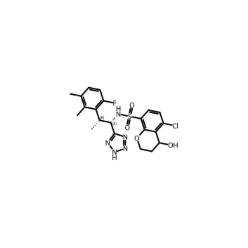 Cc1ccc(F)c([C@@H](C)[C@H](NS(=O)(=O)c2ccc(Cl)c3c2OCCC3O)c2nn[nH]n2)c1C